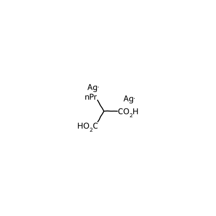 CCCC(C(=O)O)C(=O)O.[Ag].[Ag]